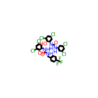 O=C(NCc1ccc(C(F)(F)F)cc1)Nc1cc(Cl)cc(Cl)c1O.O=C(Nc1cc(Cl)cc(Cl)c1)Nc1cc(Cl)cc(Cl)c1O